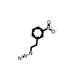 [N-]=[N+]=NCCc1cccc([N+](=O)[O-])c1